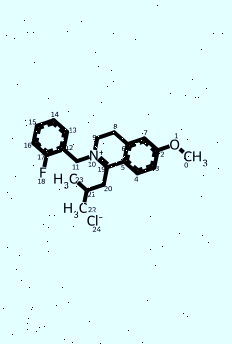 COc1ccc2c(c1)CC[N+](Cc1ccccc1F)=C2CC(C)C.[Cl-]